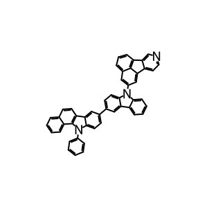 c1ccc(-n2c3ccc(-c4ccc5c(c4)c4ccccc4n5-c4cc5c6c(cccc6c4)-c4cnccc4-5)cc3c3ccc4ccccc4c32)cc1